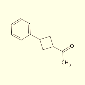 CC(=O)C1CC(c2ccccc2)C1